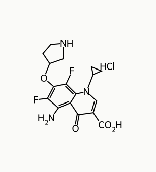 Cl.Nc1c(F)c(OC2CCNC2)c(F)c2c1c(=O)c(C(=O)O)cn2C1CC1